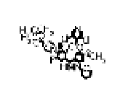 COc1cc(NC2CCCCO2)c(C(=N)c2cc(F)c(N3CCN(C(=O)OC(C)(C)C)CC3)c(F)c2)cc1O[C@H](C)c1c(Cl)cncc1Cl